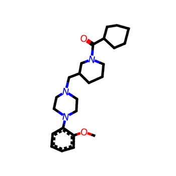 COc1ccccc1N1CCN(CC2CCCN(C(=O)C3CCCCC3)C2)CC1